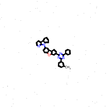 Cc1cccc(-c2nc(-c3ccccc3)nc(-c3ccc4c(c3)oc3ccc(-n5c6ccccc6c6cccnc65)cc34)n2)c1